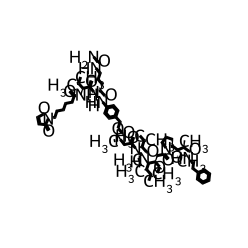 CC[C@H](C)[C@@H]([C@@H](CC(=O)N1CCC[C@H]1[C@H](OC)[C@@H](C)C(=O)NCCc1ccccc1)OC)N(C)C(=O)[C@@H](NC(=O)CN(C)C(=O)OCc1ccc(NC(=O)[C@H](CCCNC(N)=O)NC(=O)[C@@H](NC(=O)CCCCCN2C(=O)C=CC2=O)C(C)C)cc1)C(C)C